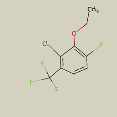 CCOc1c(F)ccc(C(F)(F)F)c1Cl